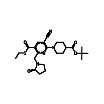 CCSC(=O)c1cc(C#N)c(N2CCC(C(=O)OC(C)(C)C)CC2)nc1CN1CCCC1=O